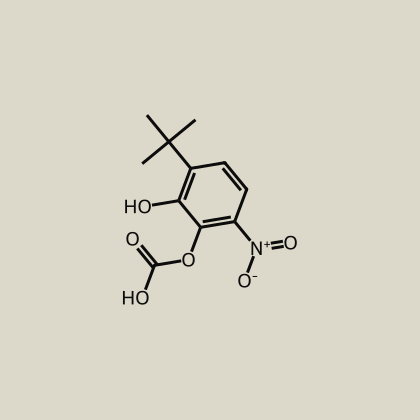 CC(C)(C)c1ccc([N+](=O)[O-])c(OC(=O)O)c1O